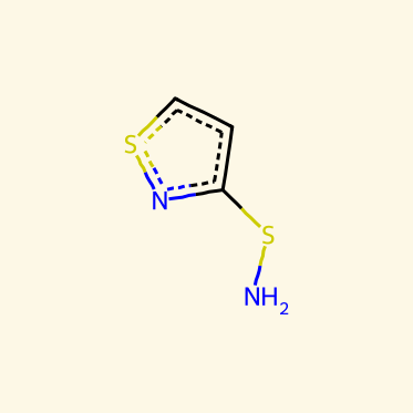 NSc1ccsn1